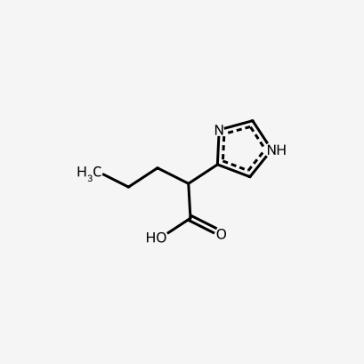 CCCC(C(=O)O)c1c[nH]cn1